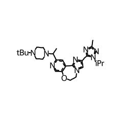 Cc1nc(-c2cn3c(n2)-c2cc(C(C)N4CCN(C(C)(C)C)CC4)ncc2OCC3)n(C(C)C)n1